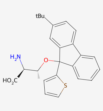 C[C@@H](OC1(c2cccs2)c2ccccc2-c2ccc(C(C)(C)C)cc21)[C@H](N)C(=O)O